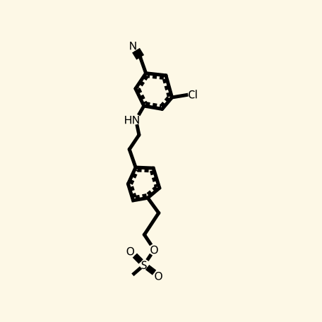 CS(=O)(=O)OCCc1ccc(CCNc2cc(Cl)cc(C#N)c2)cc1